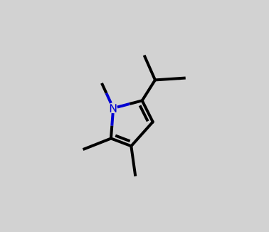 Cc1cc(C(C)C)n(C)c1C